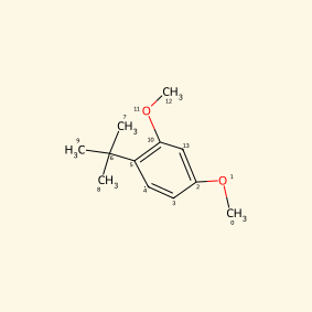 COc1c[c]c(C(C)(C)C)c(OC)c1